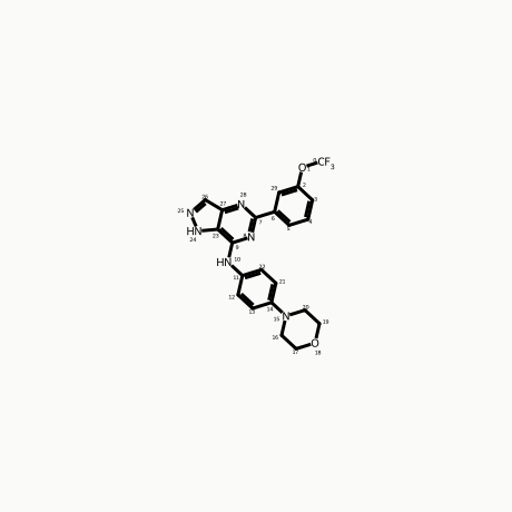 FC(F)(F)Oc1cccc(-c2nc(Nc3ccc(N4CCOCC4)cc3)c3[nH]ncc3n2)c1